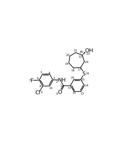 O=C(Nc1ccc(F)c(Cl)c1)c1cccc(SC2CCCC[C@@H](O)C2)c1